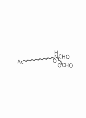 CC(=O)CCCCCCCCCCCCCCCC(=O)NC(C=O)CCC(=O)C=O